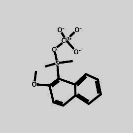 COc1ccc2ccccc2c1S(C)(C)O[Cl+3]([O-])([O-])[O-]